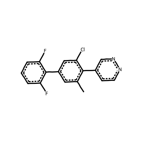 Cc1cc(-c2c(F)cccc2F)cc(Cl)c1-c1ccnnc1